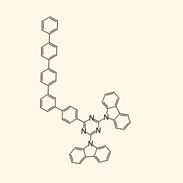 c1ccc(-c2ccc(-c3ccc(-c4cccc(-c5ccc(-c6nc(-n7c8ccccc8c8ccccc87)nc(-n7c8ccccc8c8ccccc87)n6)cc5)c4)cc3)cc2)cc1